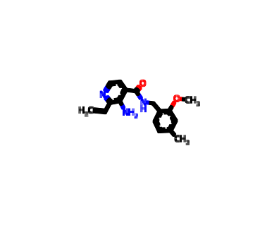 C=Cc1nccc(C(=O)NCc2ccc(C)cc2OC)c1N